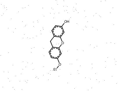 CCOc1ccc2c(c1)Oc1cc(O)ccc1C2